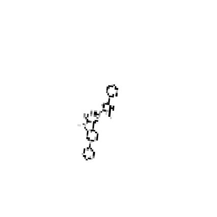 Cn1nc(-c2ccccc2)cc1N/C=C1\C(=O)Nc2cc(-c3ccccc3)ccc21